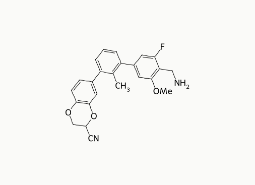 COc1cc(-c2cccc(-c3ccc4c(c3)OC(C#N)CO4)c2C)cc(F)c1CN